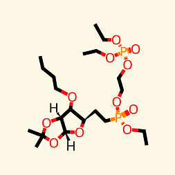 CCCCOC1[C@@H](CCP(=O)(OCC)OCCOP(=O)(OCC)OCC)O[C@@H]2OC(C)(C)O[C@@H]12